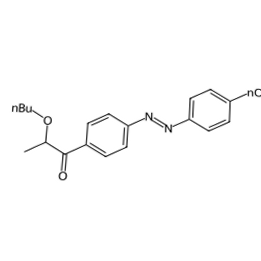 CCCCCCCCc1ccc(N=Nc2ccc(C(=O)C(C)OCCCC)cc2)cc1